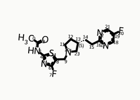 CC(=O)Nc1nc(F)c(CN2CC[C@H](CCc3ncc(F)cn3)C2)s1